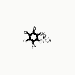 CC(=O)O.N#Cc1c(Cl)c(Cl)c(Cl)c(C#N)c1Cl